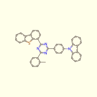 Cc1ccccc1-c1nc(-c2ccc(-n3c4ccccc4c4ccccc43)cc2)nc(-c2cccc3c2sc2ccccc23)n1